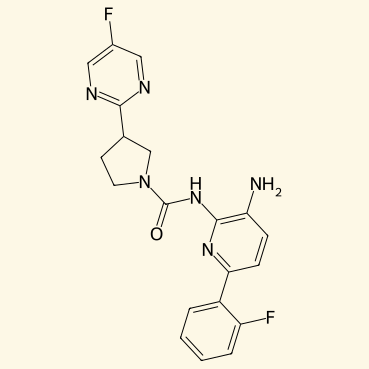 Nc1ccc(-c2ccccc2F)nc1NC(=O)N1CCC(c2ncc(F)cn2)C1